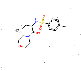 Cc1ccc(S(=O)(=O)NC(CC(=O)O)C(=O)N2CCOCC2)cc1